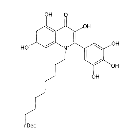 CCCCCCCCCCCCCCCCCCn1c(-c2cc(O)c(O)c(O)c2)c(O)c(=O)c2c(O)cc(O)cc21